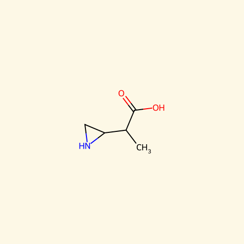 CC(C(=O)O)C1CN1